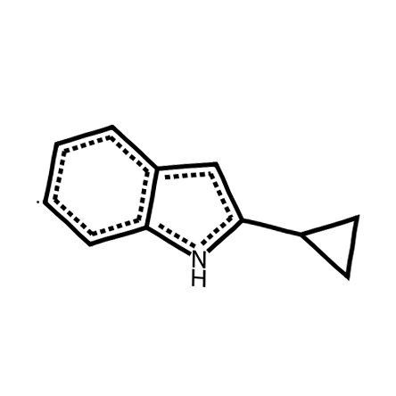 [c]1ccc2cc(C3CC3)[nH]c2c1